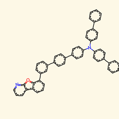 c1ccc(-c2ccc(N(c3ccc(-c4ccccc4)cc3)c3ccc(-c4ccc(-c5cccc(-c6cccc7c6oc6ncccc67)c5)cc4)cc3)cc2)cc1